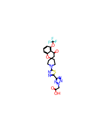 O=C(O)Cn1nnc(-c2nnc(N3CCC4(CC3)CC(=O)c3c(OC(F)(F)F)cccc3O4)s2)n1